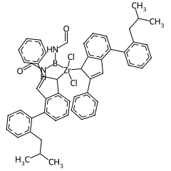 CC(C)Cc1ccccc1-c1cccc2c1C=C(c1ccccc1)[CH]2[Zr]([Cl])([Cl])([B](NC=O)NC=O)[CH]1C(c2ccccc2)=Cc2c(-c3ccccc3CC(C)C)cccc21